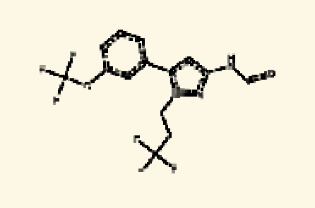 O=CNc1cc(-c2cccc(OC(F)(F)F)c2)n(CCC(F)(F)F)n1